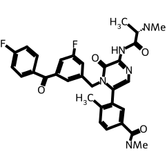 CNC(=O)c1ccc(C)c(-c2cnc(NC(=O)[C@H](C)NC)c(=O)n2Cc2cc(F)cc(C(=O)c3ccc(F)cc3)c2)c1